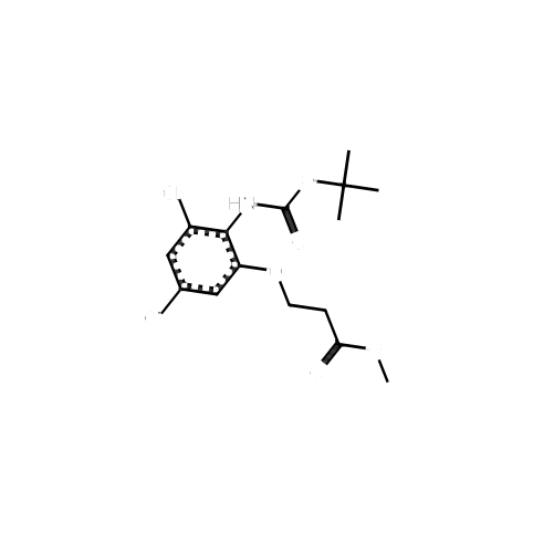 COC(=O)CCOc1cc(Cl)cc(Cl)c1NC(=O)OC(C)(C)C